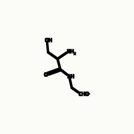 NC(CO)C(=O)NC[C]=O